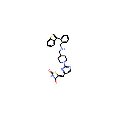 O=C1NC(=O)C(=Cc2ccnc(N3CCC(CNCc4ccccc4-c4csc5ccccc45)CC3)n2)S1